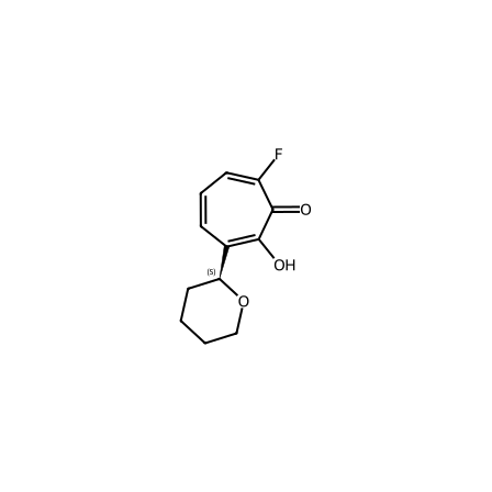 O=c1c(F)cccc([C@@H]2CCCCO2)c1O